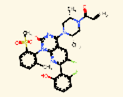 C=CC(=O)N1C[C@H](C)N(c2nc(=O)n(-c3c(C)cccc3S(C)(=O)=O)c3nc(-c4c(O)cccc4F)c(F)cc23)C[C@@H]1C